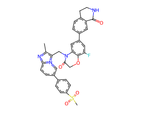 Cc1nc2ccc(-c3ccc(S(C)(=O)=O)cc3)cn2c1CN1C(=O)COc2c(F)cc(-c3ccc4c(c3)C(=O)NCC4)cc21